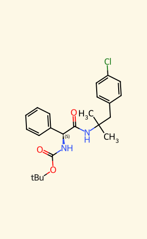 CC(C)(Cc1ccc(Cl)cc1)NC(=O)[C@@H](NC(=O)OC(C)(C)C)c1ccccc1